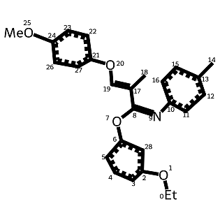 CCOc1cccc(OC(=Nc2ccc(C)cc2)C(C)=COc2ccc(OC)cc2)c1